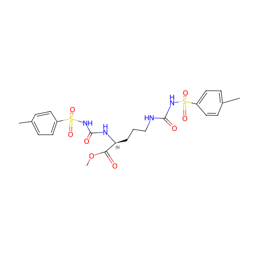 COC(=O)[C@H](CCCNC(=O)NS(=O)(=O)c1ccc(C)cc1)NC(=O)NS(=O)(=O)c1ccc(C)cc1